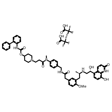 COc1ccc(CC(=O)NCc2ccc(N(C)C(=O)CCN3CCC(OC(=O)Nc4ccccc4-c4ccccc4)CC3)cc2)cc1C[C@@H](C)NC[C@H](O)c1ccc(O)c2[nH]c(=O)ccc12.O=C(O)C(F)(F)F.O=C(O)C(F)(F)F